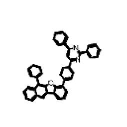 c1ccc(-c2cc(-c3ccc(-c4cccc5c4oc4c(-c6ccccc6)c6ccccc6cc45)cc3)nc(-c3ccccc3)n2)cc1